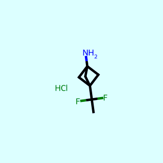 CC(F)(F)C12CC(N)(C1)C2.Cl